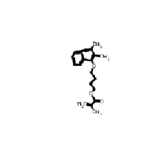 C=C(C)C(=O)OCCCCOc1c(C)c(C)cc2ccccc12